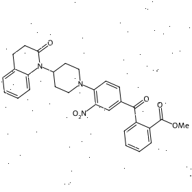 COC(=O)c1ccccc1C(=O)c1ccc(N2CCC(N3C(=O)CCc4ccccc43)CC2)c([N+](=O)[O-])c1